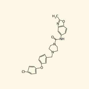 Cc1nc2cc(NC(=O)N3CCN(Cc4cccc(Oc5ccc(Cl)cc5)c4)CC3)ccc2o1